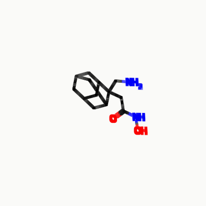 NCC1(CC(=O)NO)C2CC3CC(C2)CC1C3